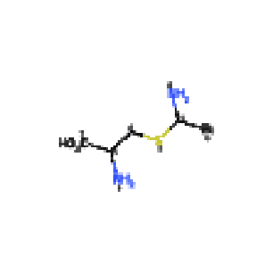 CCC(N)SCC(N)C(=O)O